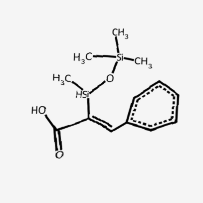 C[SiH](O[Si](C)(C)C)C(=Cc1ccccc1)C(=O)O